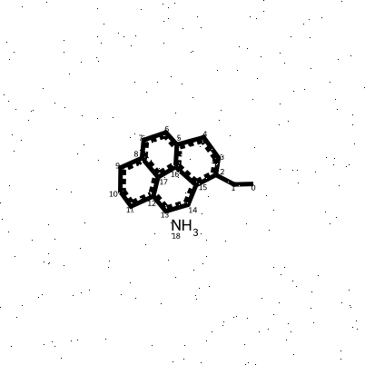 CCc1ccc2ccc3cccc4ccc1c2c34.N